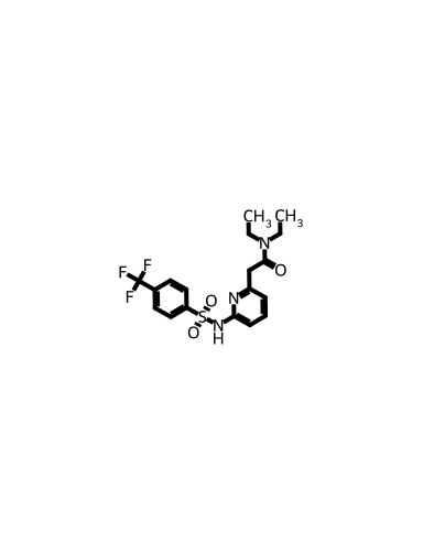 CCN(CC)C(=O)Cc1cccc(NS(=O)(=O)c2ccc(C(F)(F)F)cc2)n1